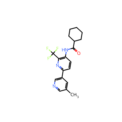 Cc1cncc(-c2ccc(NC(=O)C3CCCCC3)c(C(F)(F)F)n2)c1